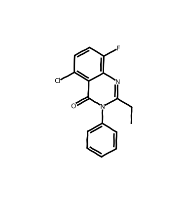 CCc1nc2c(F)ccc(Cl)c2c(=O)n1-c1ccccc1